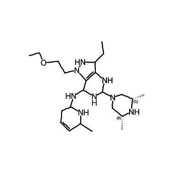 CCOCCN1NC(CC)C2=C1C(NC1CC=CC(C)N1)NC(N1C[C@@H](C)N[C@@H](C)C1)N2